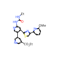 CCNC(=O)Nc1cc(-c2nc(-c3cccc(OC)n3)cs2)c(-c2cncc(C(=O)OCC)c2)cn1